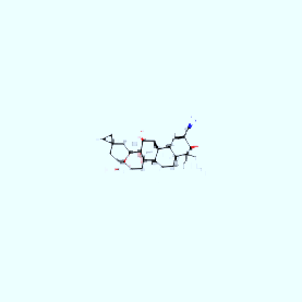 CC1(C)C(=O)C(C#N)=C[C@]2(C)C3=CC(=O)[C@]4(O)[C@@H]5CC6(CC6)CC[C@]5(CO)CC[C@@]4(C)[C@]3(C)CC[C@@H]12